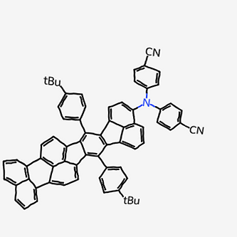 CC(C)(C)c1ccc(-c2c3c4cccc5c(N(c6ccc(C#N)cc6)c6ccc(C#N)cc6)ccc(c3c(-c3ccc(C(C)(C)C)cc3)c3c6ccc7c8cccc9cccc(c%10ccc(c23)c6c%107)c98)c54)cc1